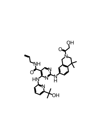 C=CCNC(=O)c1cnc(Nc2ccc3c(c2)CN(C(=O)CO)CC3(C)C)nc1Nc1cccc(C(C)(C)O)n1